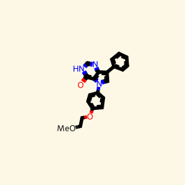 COCCOc1ccc(-n2cc(-c3ccccc3)c3nc[nH]c(=O)c32)cc1